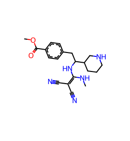 CNC(NC(Cc1ccc(C(=O)OC)cc1)C1CCCNC1)=C(C#N)C#N